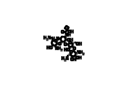 NC[C@@H]1C[C@@H](O)[C@@H](N)[C@@H](O[C@H]2C(O[C@@H]3O[C@H](CO)[C@@H](O[C@H]4O[C@@H](CN)[C@@H](O)[C@H](O)[C@H]4N)[C@H]3O)[C@@H](O)[C@H](NC(=O)C3(O)CCC3)C[C@@H]2N)O1